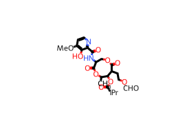 COc1ccnc(C(=O)NC2COC(=O)C(CCOC=O)C(OC(=O)C(C)C)C(C)OC2=O)c1O